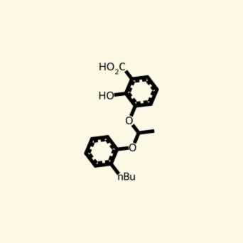 CCCCc1ccccc1OC(C)Oc1cccc(C(=O)O)c1O